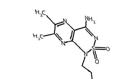 Cc1nc2c(nc1C)N(CCO)S(=O)(=O)N=C2N